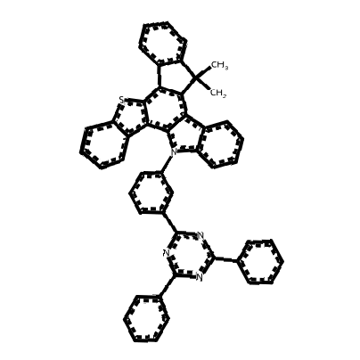 CC1(C)c2ccccc2-c2c1c1c3ccccc3n(-c3cccc(-c4nc(-c5ccccc5)nc(-c5ccccc5)n4)c3)c1c1c2sc2ccccc21